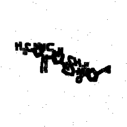 Cc1cc(Nc2cc(N3CCC[C@@H](NC(=O)c4ccc(C5CC5)cc4F)[C@H]3C)cnc2C#N)sn1